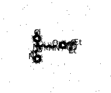 CCOP(=O)(Cc1ccc(NC(=O)CCCCc2sc(-n3cnc4ccccc43)nc2-c2ccc(Cl)cc2)cc1)OCC